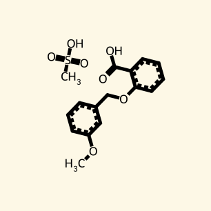 COc1cccc(COc2ccccc2C(=O)O)c1.CS(=O)(=O)O